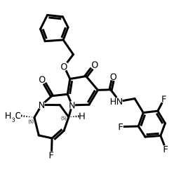 C[C@H]1CC(F)=C[C@H]2CN1C(=O)c1c(OCc3ccccc3)c(=O)c(C(=O)NCc3c(F)cc(F)cc3F)cn12